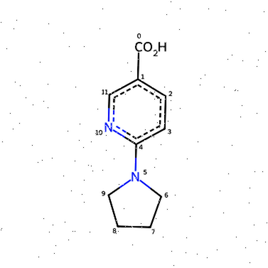 O=C(O)c1ccc(N2CCCC2)nc1